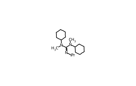 CC(C)N=C(N(C)C1CCCCC1)N(C)C1CCCCC1